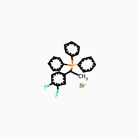 CC(c1ccc(F)c(F)c1)[P+](c1ccccc1)(c1ccccc1)c1ccccc1.[Br-]